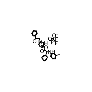 O=C(C[N+]12CCC(CC1)[C@@H](OC(=O)C(Nc1cccc(F)c1)c1ccccc1)C2)c1ccccc1.O=C([O-])C(F)(F)F